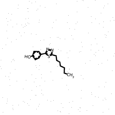 CCCCCCCc1nnc(-c2ccc(O)cc2)s1